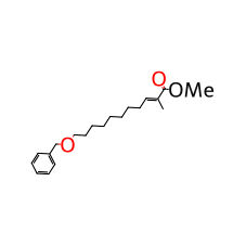 COC(=O)/C(C)=C/CCCCCCCCOCc1ccccc1